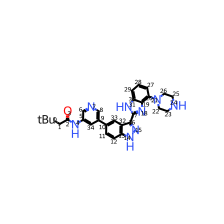 CC(C)(C)CC(=O)Nc1cncc(-c2ccc3[nH]nc(-c4nc5c(N6CCNCC6)cccc5[nH]4)c3c2)c1